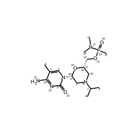 Cc1cn([C@H]2CN(C(C)C)C[C@@H](COP(C)(=O)N(C)C)O2)c(=O)nc1N